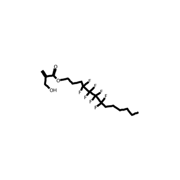 C=C(CO)C(=O)OCCCC(F)(F)C(F)(F)C(F)(F)C(F)(F)CCCCCC